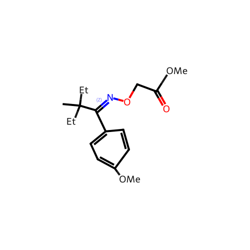 CCC(C)(CC)/C(=N/OCC(=O)OC)c1ccc(OC)cc1